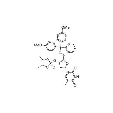 COc1ccc(C(OC[C@H]2O[C@H](n3cc(C)c(=O)[nH]c3=O)C[C@@H]2OP2(=O)OC(C)C(C)S2)(c2ccccc2)c2ccc(OC)cc2)cc1